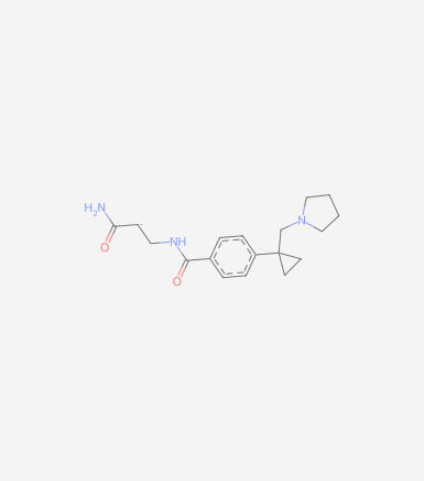 NC(=O)[CH]CNC(=O)c1ccc(C2(CN3CCCC3)CC2)cc1